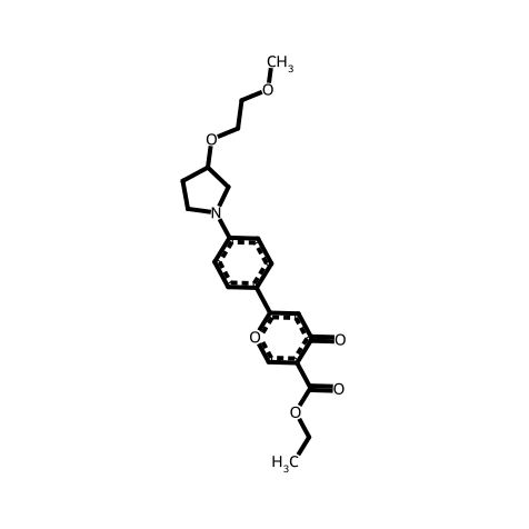 CCOC(=O)c1coc(-c2ccc(N3CCC(OCCOC)C3)cc2)cc1=O